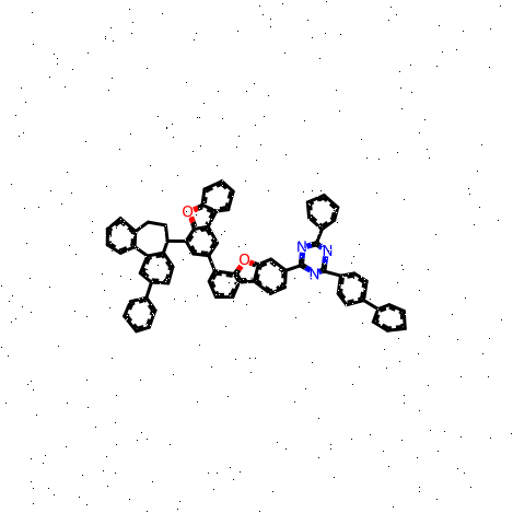 c1ccc(-c2ccc(-c3nc(-c4ccccc4)nc(-c4ccc5c(c4)oc4c(-c6cc(C7CCc8ccccc8-c8cc(-c9ccccc9)ccc87)c7oc8ccccc8c7c6)cccc45)n3)cc2)cc1